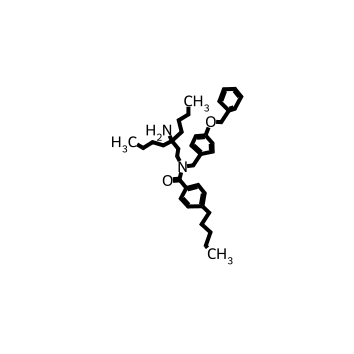 CCCCCc1ccc(C(=O)N(CCC(N)(CCCC)CCCC)Cc2ccc(OCc3ccccc3)cc2)cc1